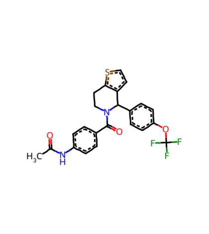 CC(=O)Nc1ccc(C(=O)N2CCc3sccc3C2c2ccc(OC(F)(F)F)cc2)cc1